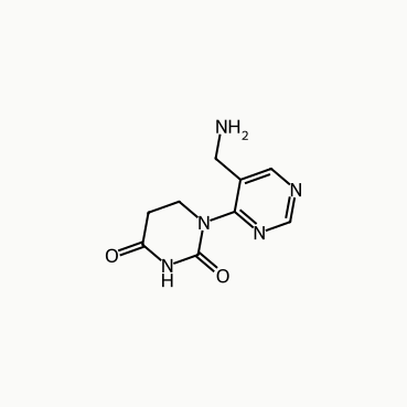 NCc1cncnc1N1CCC(=O)NC1=O